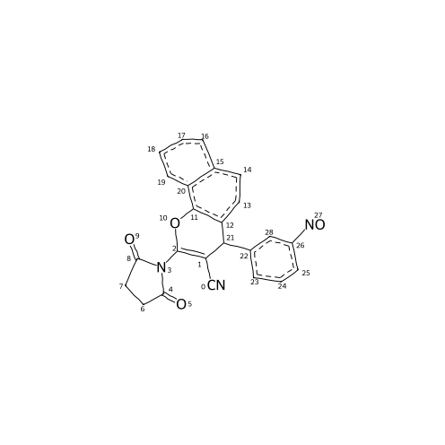 N#CC1=C(N2C(=O)CCC2=O)Oc2c(ccc3ccccc23)C1c1cccc(N=O)c1